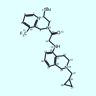 CC(C)(C)CCN(Cc1ncccc1C(F)(F)F)C(=O)CNc1cccc2c1CCN(CC1CC1)C2